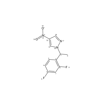 CC(c1ccc(F)cc1F)n1cc([N+](=O)[O-])cn1